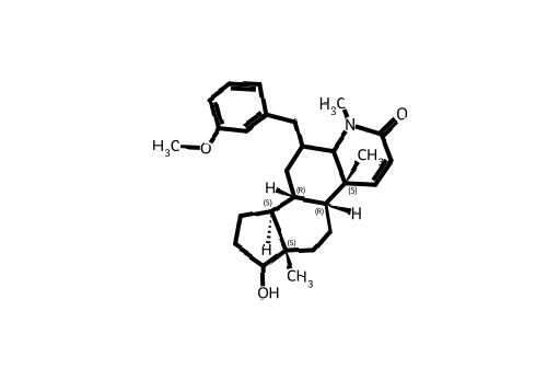 COc1cccc(CC2C[C@@H]3[C@@H](CC[C@]4(C)C(O)CC[C@@H]34)[C@@]3(C)C=CC(=O)N(C)C23)c1